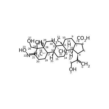 C=C(CO)[C@@H]1CC[C@]2(C(=O)O)CC[C@]3(C)[C@H](CC[C@@H]4[C@@]5(C)CC/C(=N/O)C(C)(CO)[C@@H]5CC[C@]43C)[C@@H]12